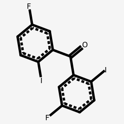 O=C(c1cc(F)ccc1I)c1cc(F)ccc1I